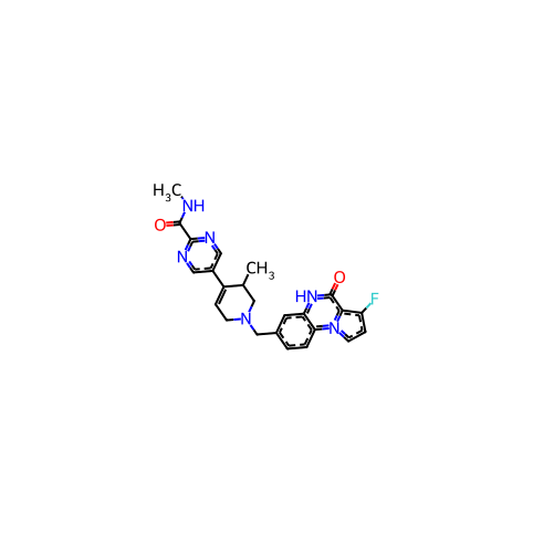 CNC(=O)c1ncc(C2=CCN(Cc3ccc4c(c3)[nH]c(=O)c3c(F)ccn34)CC2C)cn1